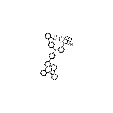 CC1(C)c2ccccc2-c2ccc(N(c3ccc(-c4ccc(-c5ccccc5-n5c6ccccc6c6ccccc65)cc4)cc3)c3cccc(C45C[C@@H]6CC7C[C@@H](C4)C76C5)c3)cc21